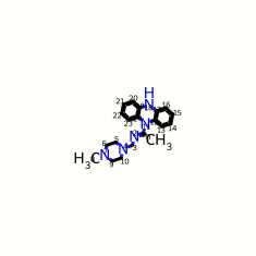 C/C(=N\CN1CCN(C)CC1)N1c2ccccc2Nc2ccccc21